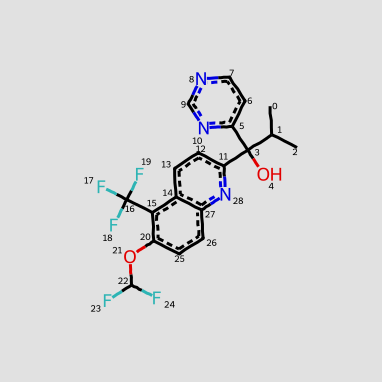 CC(C)C(O)(c1ccncn1)c1ccc2c(C(F)(F)F)c(OC(F)F)ccc2n1